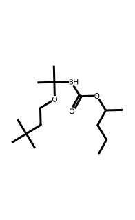 CCCC(C)OC(=O)BC(C)(C)OCCC(C)(C)C